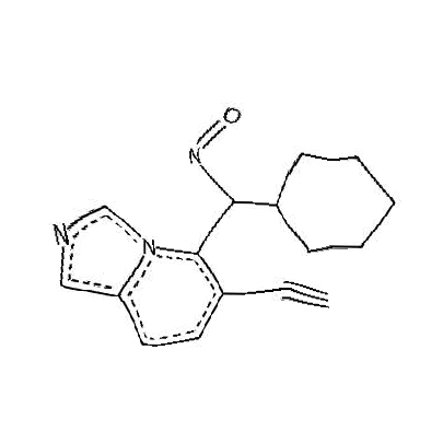 C#Cc1ccc2cncn2c1C(N=O)C1CCCCC1